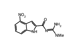 CNC(N)=NC(=O)c1cc2c([N+](=O)[O-])cccc2[nH]1